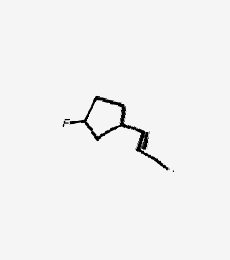 [CH2]C=CC1CCC(F)C1